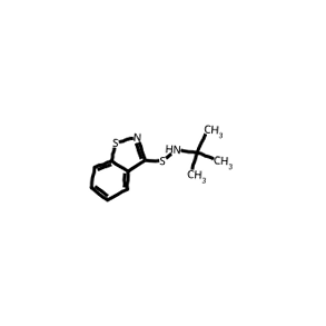 CC(C)(C)NSc1nsc2ccccc12